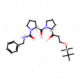 CC(C)(C)[Si](C)(C)OCCC(=O)[C@@H]1CCCN1C(=O)[C@@H]1CCCN1C(=O)NCc1ccccc1